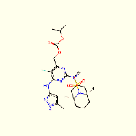 CCS(=O)(=O)N1[C@@H]2CCC[C@H]1C[C@H](N(C)c1nc(COC(=O)OC(C)C)c(F)c(Nc3cc(C)[nH]n3)n1)C2